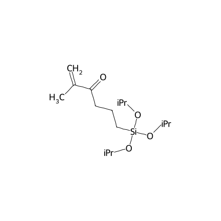 C=C(C)C(=O)CCC[Si](OC(C)C)(OC(C)C)OC(C)C